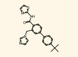 CC(C)(C)c1ccc(-c2ccc(C(=O)Nc3nccs3)c(Cn3ccnc3)c2)cc1